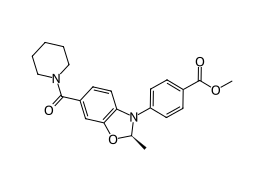 COC(=O)c1ccc(N2c3ccc(C(=O)N4CCCCC4)cc3O[C@@H]2C)cc1